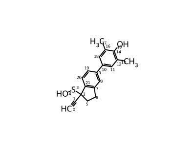 C#CC1(SO)CCc2cc(-c3cc(C)c(O)c(C)c3)ccc21